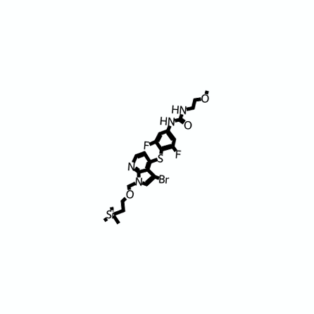 COCCNC(=O)Nc1cc(F)c(Sc2ccnc3c2c(Br)cn3COCC[Si](C)(C)C)c(F)c1